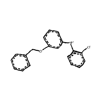 Clc1ccccc1Nc1cccc(OCc2ccccc2)c1